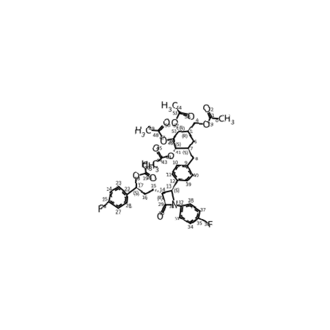 CC(=O)OC[C@H]1C[C@@H](Cc2ccc([C@@H]3[C@@H](CC[C@H](OC(C)=O)c4ccc(F)cc4)C(=O)N3c3ccc(F)cc3)cc2)[C@H](OC(C)=O)[C@@H](OC(C)=O)[C@@H]1OC(C)=O